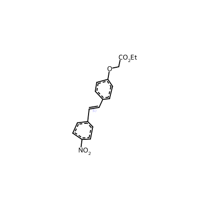 CCOC(=O)COc1ccc(/C=C/c2ccc([N+](=O)[O-])cc2)cc1